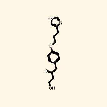 O=C(CCO)Cc1ccc(OCCCc2c[nH]cn2)cc1